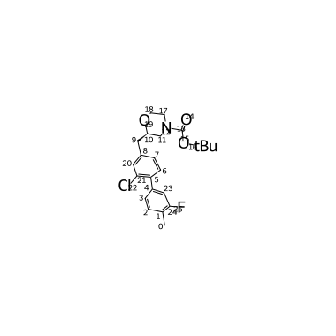 Cc1ccc(-c2ccc(C[C@@H]3CN(C(=O)OC(C)(C)C)CCO3)cc2Cl)cc1F